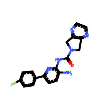 Nc1ccc(-c2ccc(F)cc2)nc1NC(=O)N1Cc2nccnc2C1